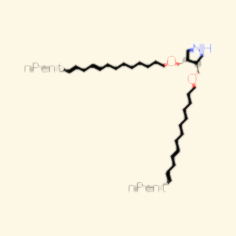 CCCCCC=CCC=CCCCCCCCCOC[C@@H]1CNC[C@H]1COCCCCCCCCC=CCC=CCCCCC